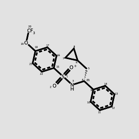 O=S(=O)(N[C@H](CC1CC1)c1ccccc1)c1ccc(OC(F)(F)F)cc1